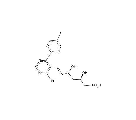 CC(C)c1ncnc(-c2ccc(F)cc2)c1/C=C/C(O)C[C@@H](O)CC(=O)O